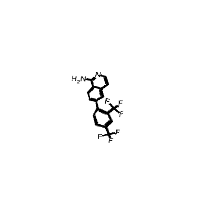 Nc1nccc2cc(-c3ccc(C(F)(F)F)cc3C(F)(F)F)ccc12